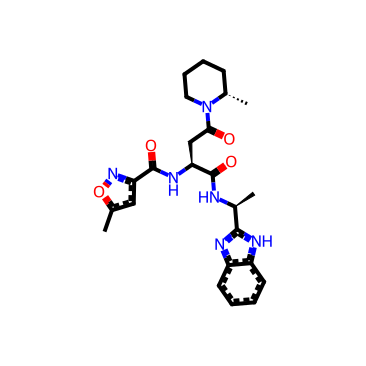 Cc1cc(C(=O)N[C@@H](CC(=O)N2CCCC[C@@H]2C)C(=O)N[C@@H](C)c2nc3ccccc3[nH]2)no1